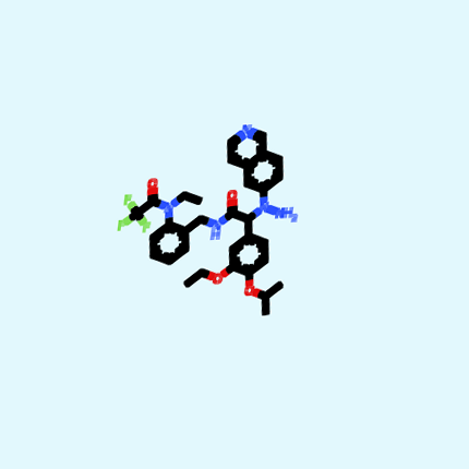 CCOc1cc(C(C(=O)NCc2ccccc2N(CC)C(=O)C(F)(F)F)N(N)c2ccc3cnccc3c2)ccc1OC(C)C